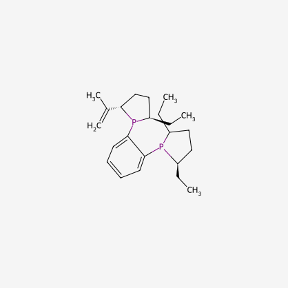 C=C(C)[C@@H]1CC[C@@H](CC)P1c1ccccc1P1C(CC)CC[C@H]1CC